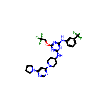 FC(F)(F)COc1nc(Nc2cccc(C(F)(F)F)c2)nc(NC2CCN(c3cc(N4CCCC4)ncn3)CC2)n1